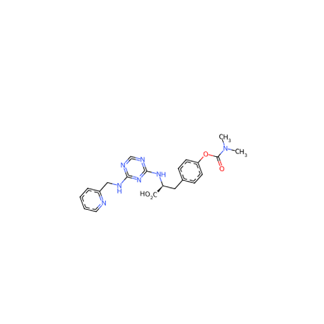 CN(C)C(=O)Oc1ccc(C[C@H](Nc2ncnc(NCc3ccccn3)n2)C(=O)O)cc1